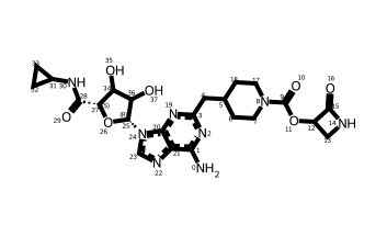 Nc1nc(CC2CCN(C(=O)OC3CNC3=O)CC2)nc2c1ncn2[C@@H]1O[C@H](C(=O)NC2CC2)C(O)C1O